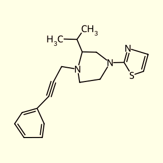 CC(C)C1CN(c2nccs2)CCN1CC#Cc1ccccc1